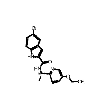 C[C@@H](NC(=O)c1cc2cc(Br)ccc2[nH]1)c1ccc(OCC(F)(F)F)cn1